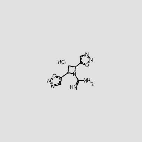 Cl.N=C(N)N1C(c2cnno2)CC1c1cnno1